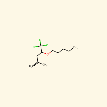 C=C(C)CC(OCCCCC)C(Cl)(Cl)Cl